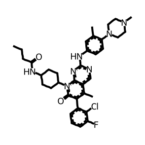 CCCC(=O)NC1CCC(n2c(=O)c(-c3cccc(F)c3Cl)c(C)c3cnc(Nc4ccc(N5CCN(C)CC5)c(C)c4)nc32)CC1